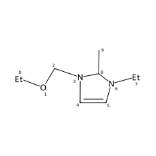 CCOCN1C=CN(CC)C1C